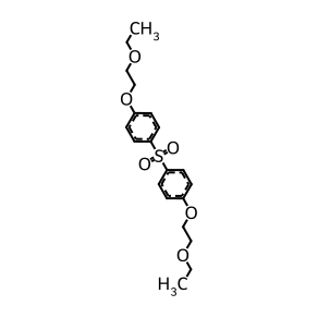 CCOCCOc1ccc(S(=O)(=O)c2ccc(OCCOCC)cc2)cc1